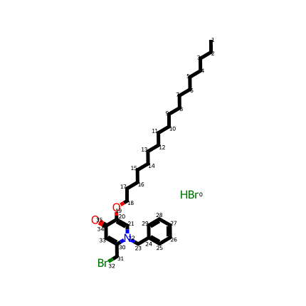 Br.CCCCCCCCCCCCCCCCCCOc1cn(Cc2ccccc2)c(CBr)cc1=O